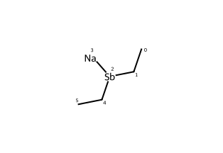 C[CH2][Sb]([Na])[CH2]C